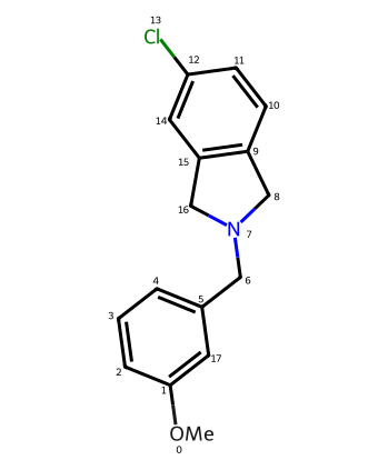 COc1cccc(CN2Cc3ccc(Cl)cc3C2)c1